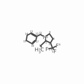 CCC1C(C(F)(F)F)CCN1CC1=CCCC=C1